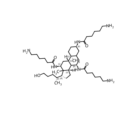 C[C@H](CCCO)[C@H]1CC[C@H]2C3[C@H](NC(=O)CCCCCN)CC4C[C@H](NC(=O)CCCCCN)CC[C@]4(C)[C@H]3C[C@H](NC(=O)CCCCCN)C12C